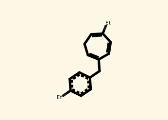 CCC1=CCC=C(Cc2ccc(CC)cc2)C=C1